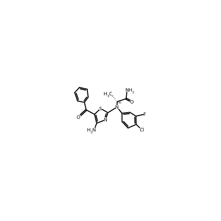 C[C@H](C(N)=O)N(c1ccc(Cl)c(F)c1)c1nc(N)c(C(=O)c2ccccc2)s1